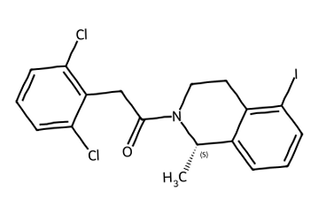 C[C@H]1c2cccc(I)c2CCN1C(=O)Cc1c(Cl)cccc1Cl